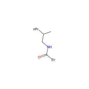 C[CH]C(=O)NCC(C)CCC